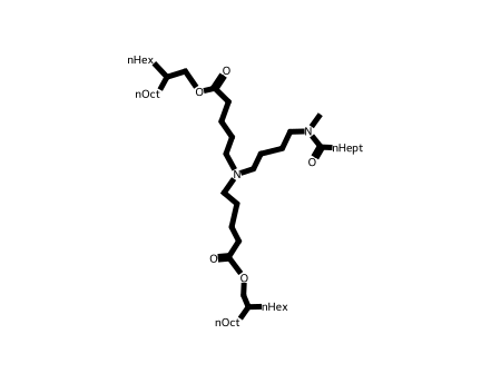 CCCCCCCCC(CCCCCC)COC(=O)CCCCN(CCCCC(=O)OCC(CCCCCC)CCCCCCCC)CCCCN(C)C(=O)CCCCCCC